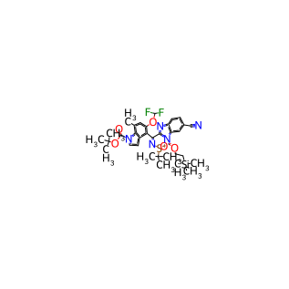 Cc1cc(OC(F)F)c(C(=N[S+]([O-])C(C)(C)C)c2nc3ccc(C#N)cc3n2COCC[Si](C)(C)C)c2ccn(C(=O)OC(C)(C)C)c12